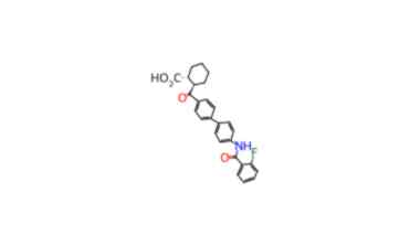 O=C(Nc1ccc(-c2ccc(C(=O)[C@@H]3CCCC[C@H]3C(=O)O)cc2)cc1)c1ccccc1F